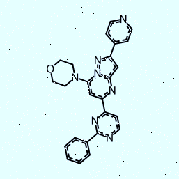 c1ccc(-c2nccc(-c3cc(N4CCOCC4)n4nc(-c5ccncc5)cc4n3)n2)cc1